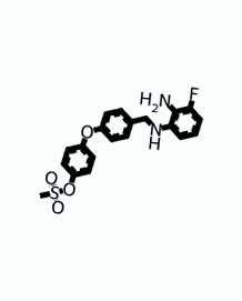 CS(=O)(=O)Oc1ccc(Oc2ccc(CNc3cccc(F)c3N)cc2)cc1